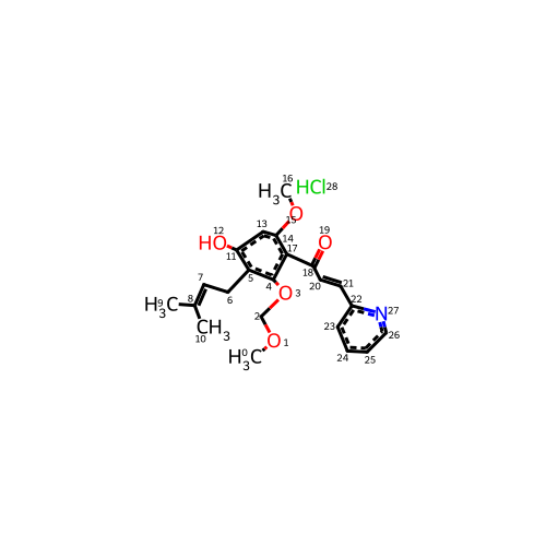 COCOc1c(CC=C(C)C)c(O)cc(OC)c1C(=O)C=Cc1ccccn1.Cl